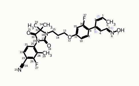 C\C=C/C(=C\C=N\O)c1ccc(OCCCN2C(=O)N(c3ccc(C#N)c(F)c3C)C(=O)C2(C)C)cc1F